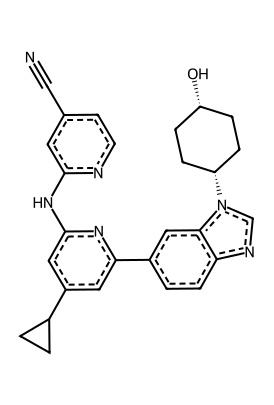 N#Cc1ccnc(Nc2cc(C3CC3)cc(-c3ccc4ncn([C@H]5CC[C@@H](O)CC5)c4c3)n2)c1